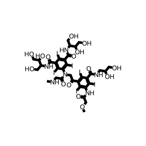 CNCC(=O)N(CC(=O)c1c(I)c(NC(=O)COC)c(I)c(C(=O)NCC(O)CO)c1I)c1c(I)c(C(=O)NC(CO)C(O)CO)c(I)c(C(=O)NC(CO)C(O)CO)c1I